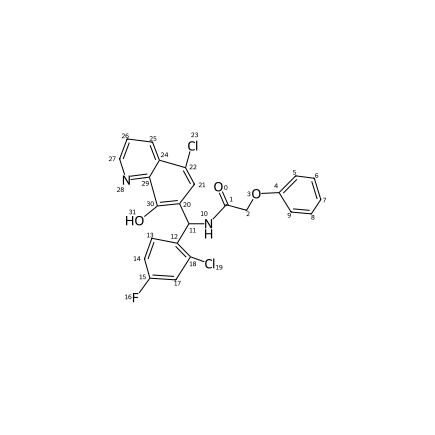 O=C(COc1ccccc1)NC(c1ccc(F)cc1Cl)c1cc(Cl)c2cccnc2c1O